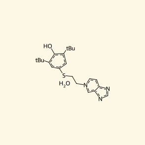 CC(C)(C)c1cc(SCCn2ccc3ncnc-3c2)cc(C(C)(C)C)c1O.O